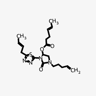 C=CCCCN1CC(OC(=O)CCC=CC)N(c2nnc(CC=CC)s2)C1=O